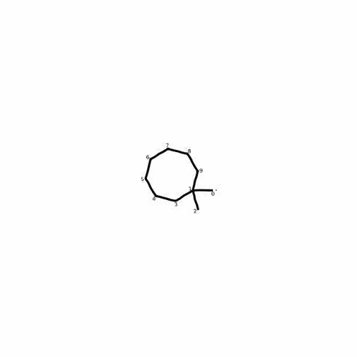 [CH2]C1(C)CCCCCCC1